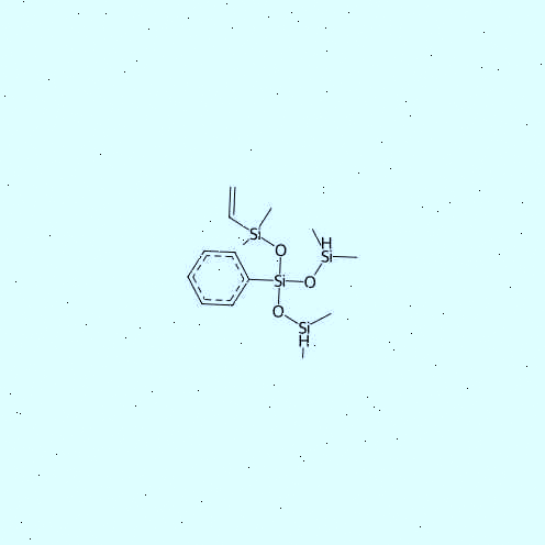 C=C[Si](C)(C)O[Si](O[SiH](C)C)(O[SiH](C)C)c1ccccc1